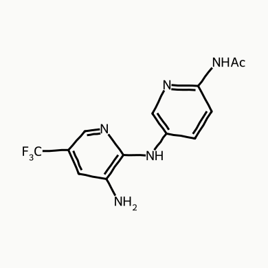 CC(=O)Nc1ccc(Nc2ncc(C(F)(F)F)cc2N)cn1